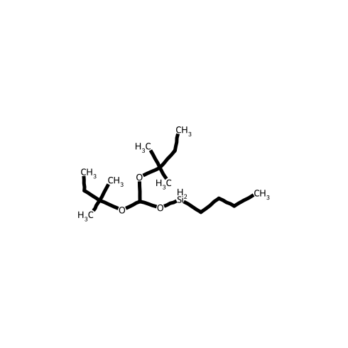 CCCC[SiH2]OC(OC(C)(C)CC)OC(C)(C)CC